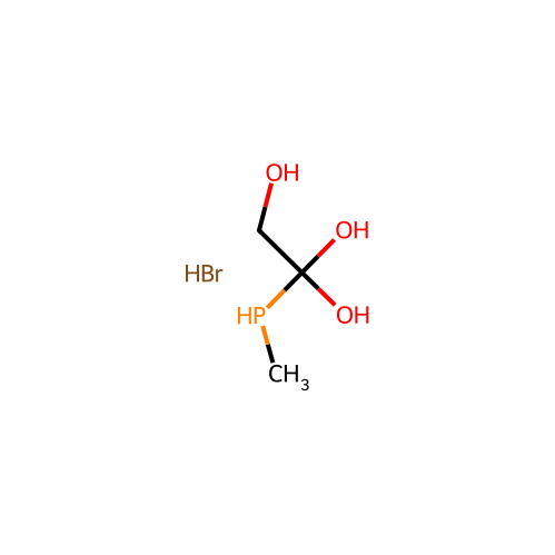 Br.CPC(O)(O)CO